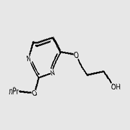 CCCOc1nccc(OCCO)n1